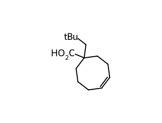 CC(C)(C)CC1(C(=O)O)CCC=CCCC1